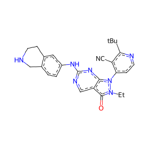 CCn1c(=O)c2cnc(Nc3ccc4c(c3)CCNC4)nc2n1-c1ccnc(C(C)(C)C)c1C#N